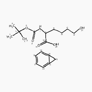 CC(C)(C)OC(=O)NC(CCCCO)C(=O)O.c1ccc2c(c1)C2